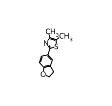 Cc1nc(-c2ccc3c(c2)CCO3)sc1C